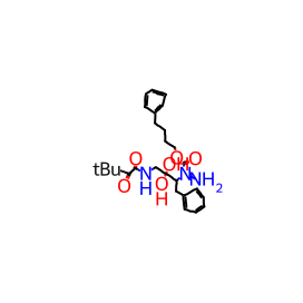 CC(C)(C)C(=O)C(=O)NCC(O)(O)C(Cc1ccccc1)N(N)C(=O)OCCCCc1ccccc1